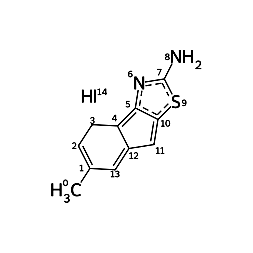 CC1=CCC2=c3nc(N)sc3=CC2=C1.I